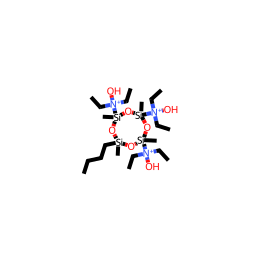 CCCC[Si]1(C)O[Si](C)([N+](O)(CC)CC)O[Si](C)([N+](O)(CC)CC)O[Si](C)([N+](O)(CC)CC)O1